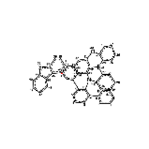 c1ccc(-c2cccc(-c3ccccc3)c2N2c3ccccc3B3c4ccccc4Oc4cc(-c5ccc6sc7ccccc7c6c5)cc2c43)cc1